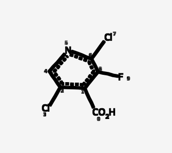 O=C(O)c1c(Cl)cnc(Cl)c1F